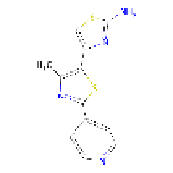 Cc1nc(-c2ccncc2)sc1-c1csc(N)n1